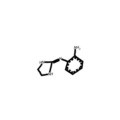 Nc1ccccc1N=C1NCCN1